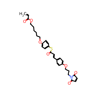 C=CC(=O)OCCCCCCOc1ccc(SC(=O)/C=C/c2ccc(OCCCN3C(=O)C=CC3=O)cc2)cc1